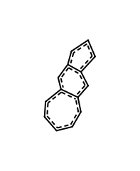 c1ccc2cc3cccc3cc2cc1